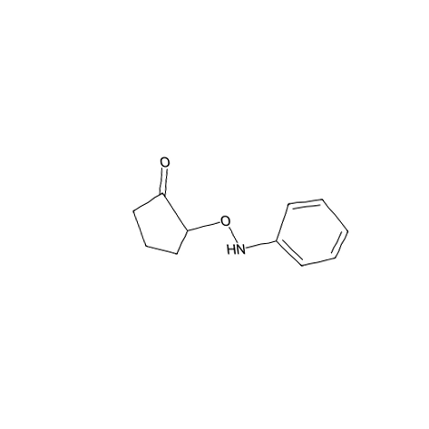 O=C1CCCC1ONc1ccccc1